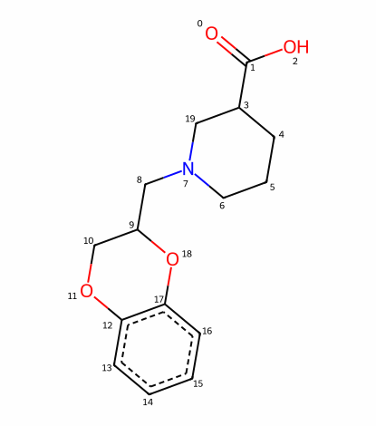 O=C(O)C1CCCN(CC2COc3ccccc3O2)C1